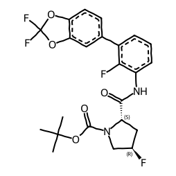 CC(C)(C)OC(=O)N1C[C@H](F)C[C@H]1C(=O)Nc1cccc(-c2ccc3c(c2)OC(F)(F)O3)c1F